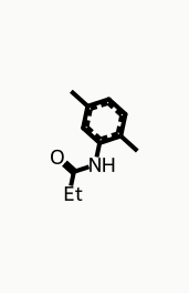 CCC(=O)Nc1cc(C)ccc1C